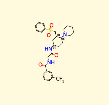 O=C(CNC(=O)c1cccc(C(F)(F)F)c1)N[C@@H]1CC[C@H](N2CCCCC2)[C@H](CS(=O)(=O)c2ccccc2)C1